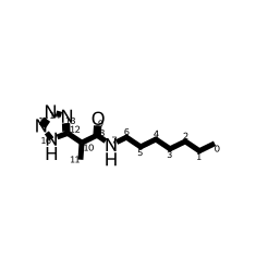 CCCCCCCNC(=O)C(C)c1nnn[nH]1